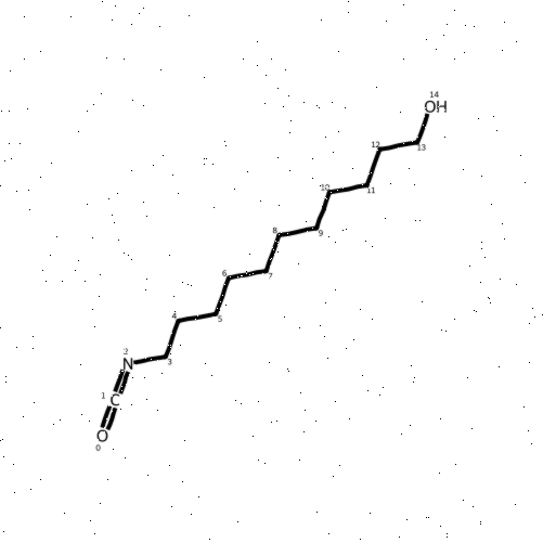 O=C=NCCCCCCCCCCCO